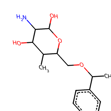 CC(OCC1OC(O)C(N)C(O)C1C)c1ccccc1